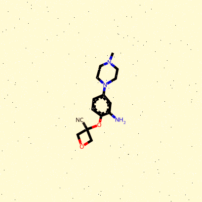 CN1CCN(c2ccc(OC3(C#N)COC3)c(N)c2)CC1